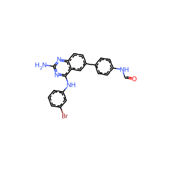 Nc1nc(Nc2cccc(Br)c2)c2cc(-c3ccc(NC=O)cc3)ccc2n1